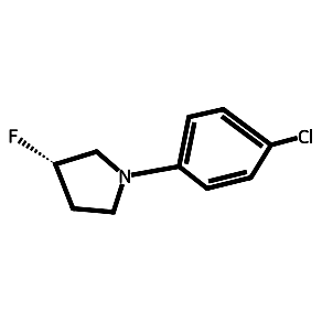 F[C@H]1CCN(c2ccc(Cl)cc2)C1